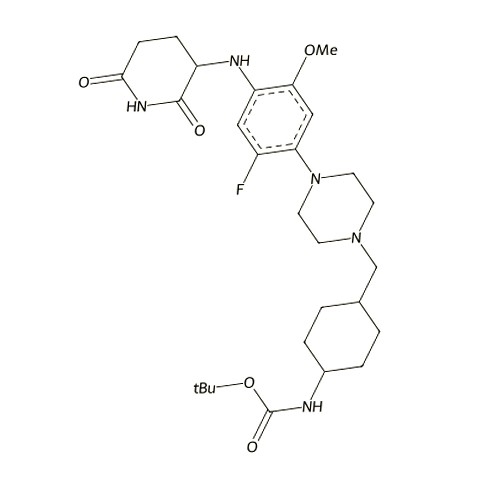 COc1cc(N2CCN(CC3CCC(NC(=O)OC(C)(C)C)CC3)CC2)c(F)cc1NC1CCC(=O)NC1=O